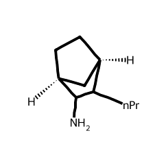 CCCC1C(N)[C@H]2CC[C@@H]1C2